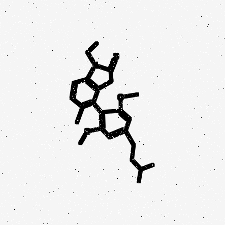 CCN1C(=O)Cc2c1ccc(C)c2-c1c(OC)cc(CCC(C)C)cc1OC